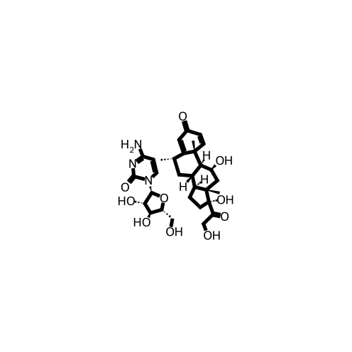 C[C@H]1C[C@@H]2[C@H]([C@@H](O)C[C@@]3(C)[C@H]2CC[C@]3(O)C(=O)CO)[C@@]2(C)C=CC(=O)C=C12.Nc1ccn([C@@H]2O[C@H](CO)[C@@H](O)[C@@H]2O)c(=O)n1